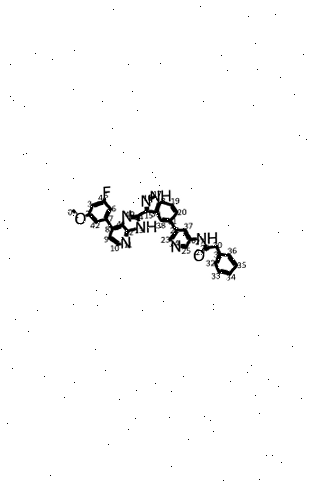 COc1cc(F)cc(-c2ccnc3[nH]c(-c4n[nH]c5ccc(-c6cncc(NC(=O)Cc7ccccc7)c6)cc45)nc23)c1